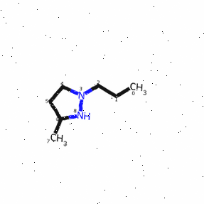 CCCN1CCC(C)N1